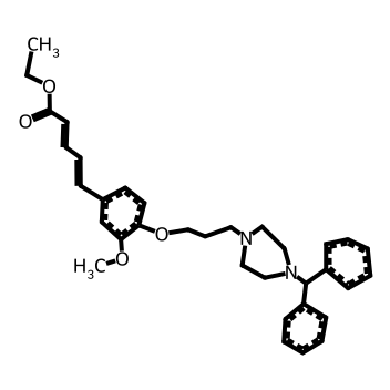 CCOC(=O)C=CC=Cc1ccc(OCCCN2CCN(C(c3ccccc3)c3ccccc3)CC2)c(OC)c1